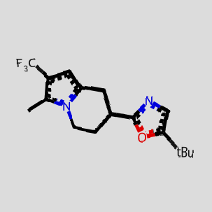 Cc1c(C(F)(F)F)cc2n1CCC(c1ncc(C(C)(C)C)o1)C2